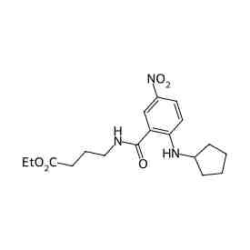 CCOC(=O)CCCNC(=O)c1cc([N+](=O)[O-])ccc1NC1CCCC1